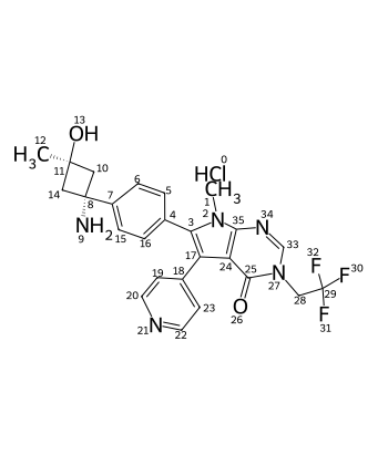 Cl.Cn1c(-c2ccc([C@]3(N)C[C@](C)(O)C3)cc2)c(-c2ccncc2)c2c(=O)n(CC(F)(F)F)cnc21